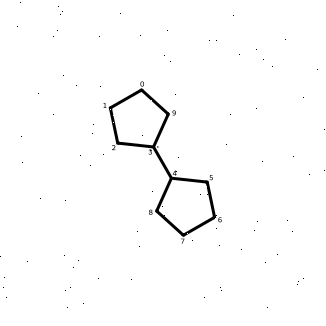 C1CC[C](C2CCCC2)C1